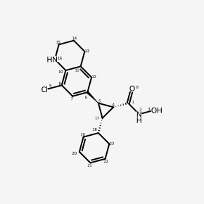 O=C(NO)[C@H]1[C@H](c2cc(Cl)c3c(c2)CCCN3)[C@H]1C1C=CC=CC1